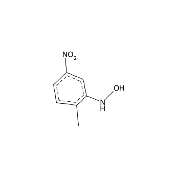 Cc1ccc([N+](=O)[O-])cc1NO